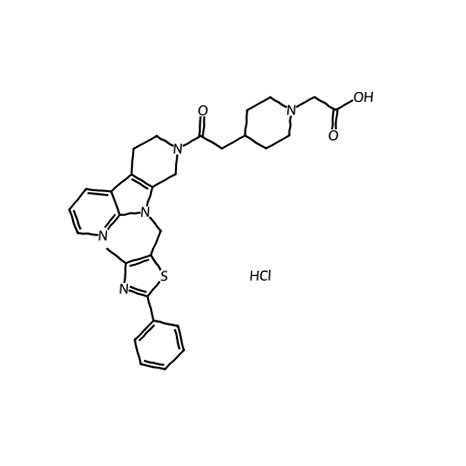 Cc1nc(-c2ccccc2)sc1Cn1c2c(c3cccnc31)CCN(C(=O)CC1CCN(CC(=O)O)CC1)C2.Cl